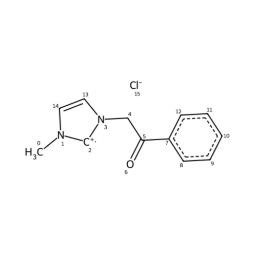 CN1[C+]N(CC(=O)c2ccccc2)C=C1.[Cl-]